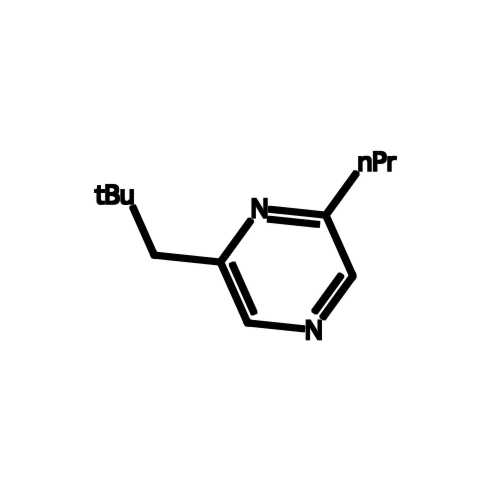 CCCc1cncc(CC(C)(C)C)n1